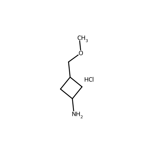 COCC1CC(N)C1.Cl